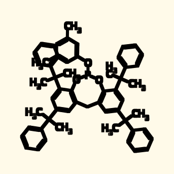 Cc1cc(C)cc(OP2Oc3c(cc(C(C)(C)c4ccccc4)cc3C(C)(C)c3ccccc3)Cc3cc(C(C)(C)c4ccccc4)cc(C(C)(C)c4ccccc4)c3O2)c1